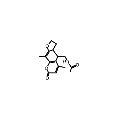 C[C](=O)[Hg][CH2]C1c2c(C)cc(=O)oc2C(C)=C2OCCC21